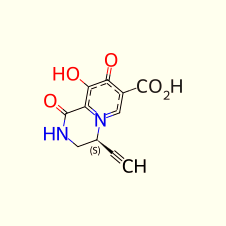 C#C[C@H]1CNC(=O)c2c(O)c(=O)c(C(=O)O)cn21